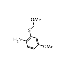 COCSc1cc(OC)ccc1N